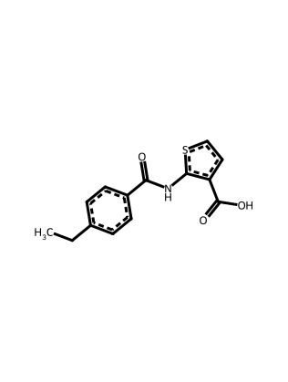 CCc1ccc(C(=O)Nc2sccc2C(=O)O)cc1